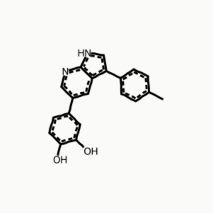 Cc1ccc(-c2c[nH]c3ncc(-c4ccc(O)c(O)c4)cc23)cc1